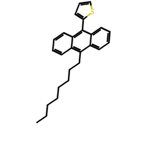 CCCCCCCCc1c2ccccc2c(-c2cccs2)c2ccccc12